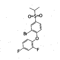 CC(C)S(=O)(=O)c1ccc(Oc2ccc(F)cc2F)c(Br)c1